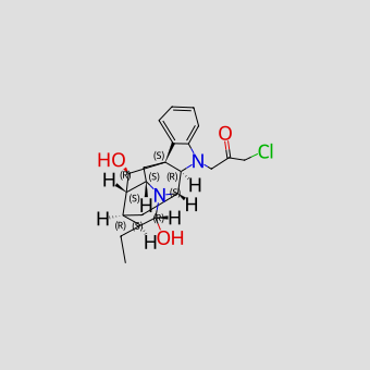 CC[C@H]1[C@@H]2C[C@H]3[C@@H]4N(CC(=O)CCl)c5ccccc5[C@@]45C[C@@H]([C@H]2[C@H]5O)N3[C@@H]1O